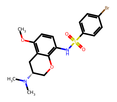 COc1ccc(NS(=O)(=O)c2ccc(Br)cc2)c2c1C[C@@H](N(C)C)CO2